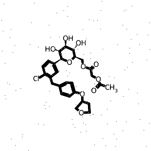 CC(=O)OCC(=O)OC[C@H]1O[C@@H](c2ccc(Cl)c(Cc3ccc(OC4CCOC4)cc3)c2)[C@H](O)[C@@H](O)[C@@H]1O